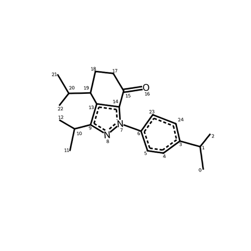 CC(C)c1ccc(-n2nc(C(C)C)c3c2C(=O)CCC3C(C)C)cc1